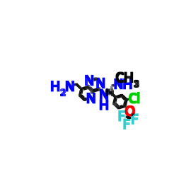 CNC[C@@H](Nc1ncnc2c(CN)ccnc12)c1ccc(OC(F)(F)F)c(Cl)c1